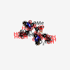 COc1cc2c(cc1OCc1cc(COc3cc4c(cc3OC)C(=O)N3Cc5ccsc5C[C@H]3C(O)N4C(=O)OCc3ccc(O[C@@H]4O[C@H](C(=O)O)[C@@H](O)[C@H](O)[C@H]4O)cc3)cc(O[SH](=O)=O)c1)N(C(=O)OCc1ccc(O[C@@H]3O[C@H](C(=O)O)[C@@H](O)[C@H](O)[C@H]3O)cc1)C(O)[C@@H]1Cc3sccc3CN1C2=O